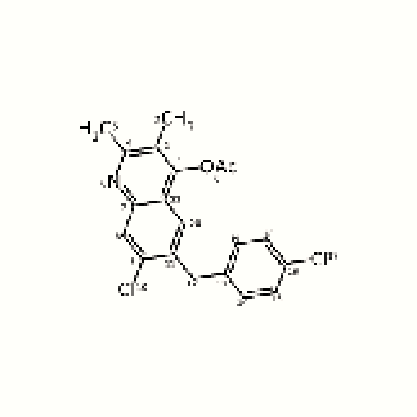 CC(=O)Oc1c(C)c(C)nc2cc(Cl)c(Cc3ccc(Cl)cc3)cc12